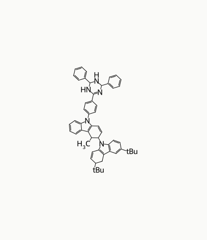 CC1c2c(n(-c3ccc(C4=NC(c5ccccc5)NC(c5ccccc5)N4)cc3)c3ccccc23)C=CC1n1c2c(c3cc(C(C)(C)C)ccc31)CC(C(C)(C)C)C=C2